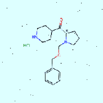 Cl.O=C(C1CCNCC1)[C@@H]1CCCN1COCc1ccccc1